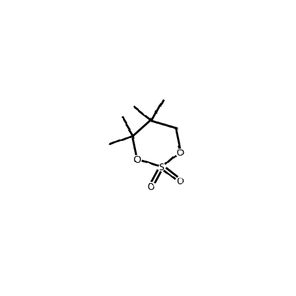 CC1(C)COS(=O)(=O)OC1(C)C